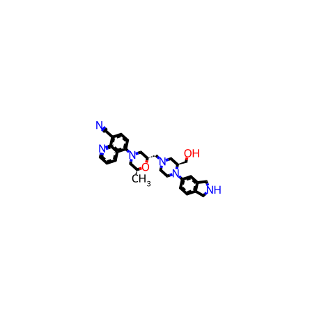 C[C@@H]1CN(c2ccc(C#N)c3ncccc23)C[C@H](CN2CCN(c3ccc4c(c3)CNC4)[C@H](CO)C2)O1